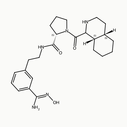 NC(=NO)c1cccc(CCNC(=O)[C@@H]2CCCN2C(=O)C2NCC[C@@H]3CCCC[C@H]23)c1